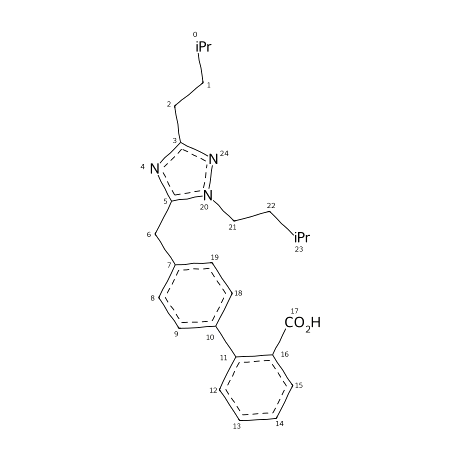 CC(C)CCc1nc(Cc2ccc(-c3ccccc3C(=O)O)cc2)n(CCC(C)C)n1